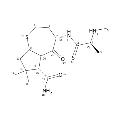 CN[C@@H](C)C(=S)N[C@H]1CCSC2CC(C)(C)[C@@H](C(N)=O)C2C1=O